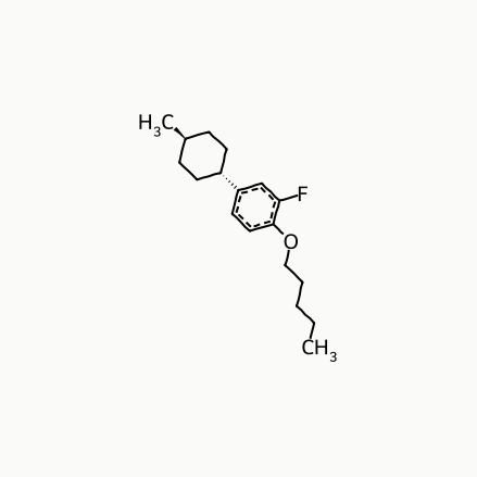 CCCCCOc1ccc([C@H]2CC[C@H](C)CC2)cc1F